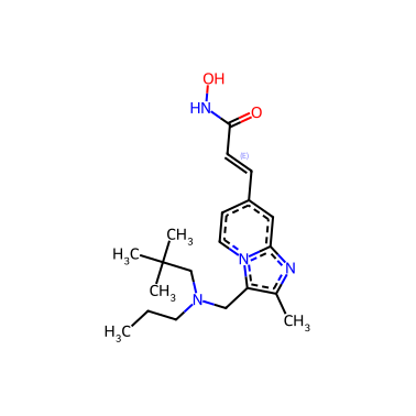 CCCN(Cc1c(C)nc2cc(/C=C/C(=O)NO)ccn12)CC(C)(C)C